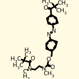 CN(CCN(C)C(=O)C(C)(C)C)C(=O)OCc1ccc(/N=N/c2ccc(C(=O)C(C)(C)C)cc2)cc1